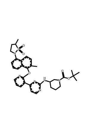 Cc1ccc2c(N3CCC(C)S3(=O)=O)cccc2c1Oc1ncccc1-c1ccnc(NC2CCCN(C(=O)OC(C)(C)C)C2)n1